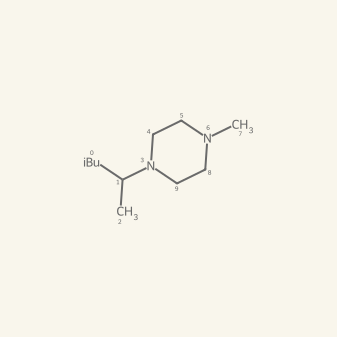 CCC(C)C(C)N1CCN(C)CC1